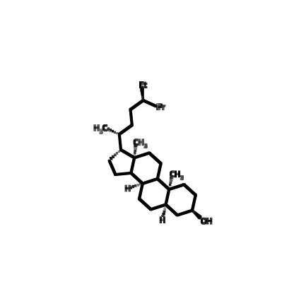 CC[C@H](CC[C@@H](C)[C@H]1CCC2[C@@H]3CC[C@@H]4C[C@H](O)CC[C@]4(C)C3CC[C@@]21C)C(C)C